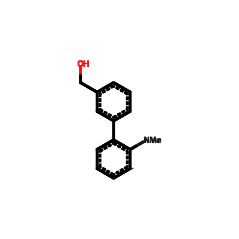 CNc1[c]cccc1-c1cccc(CO)c1